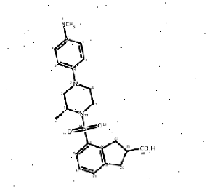 C[C@H]1CN(c2ccc(NC(F)(F)F)cc2)CCN1S(=O)(=O)c1cccc2c1CC(C(=O)O)C2